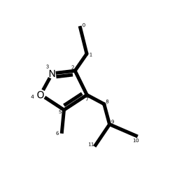 CCc1noc(C)c1CC(C)C